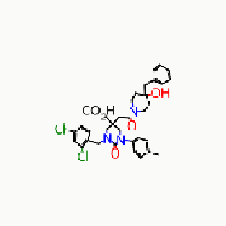 Cc1ccc(N2CC(CC(=O)O)(CC(=O)N3CCC(O)(Cc4ccccc4)CC3)CN(Cc3ccc(Cl)cc3Cl)C2=O)cc1